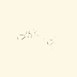 O=C(Nc1cc(F)c(F)c(F)c1)[C@H]1CCN(C(=O)c2nc3ccccc3[nH]2)C1